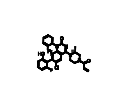 C=CC(=O)N1CCN(c2nc(=O)n(-c3ccccc3C(C)C)c3nc(-c4c(O)cccc4F)c(Cl)cc23)[C@@H](C)C1